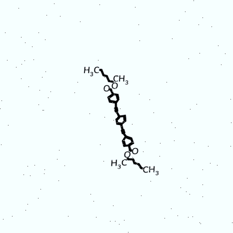 CCCCCC(C)OC(=O)c1ccc(C#Cc2ccc(C#Cc3ccc(C(=O)OC(C)CCCCC)cc3)cc2)cc1